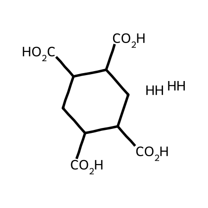 O=C(O)C1CC(C(=O)O)C(C(=O)O)CC1C(=O)O.[HH].[HH]